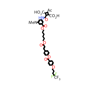 CNc1cc(NC(=O)C2C(C(=O)O)C(C(C)=O)C2C(=O)O)cc(C(=O)OCCCCCCOC(=O)/C=C/c2ccc(OC(=O)c3ccc(OCCCC(F)(F)C(F)(F)F)cc3)cc2)c1